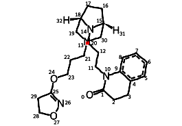 O=C1CCc2ccccc2N1CCCN1[C@@H]2CC[C@H]1CN(CCCOC1=NOCC1)C2